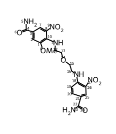 COc1cc(C(N)=O)cc([N+](=O)[O-])c1NCCOCCNc1ccc(C(N)=O)cc1[N+](=O)[O-]